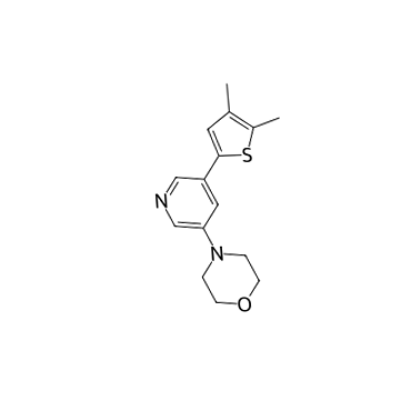 Cc1cc(-c2cncc(N3CCOCC3)c2)sc1C